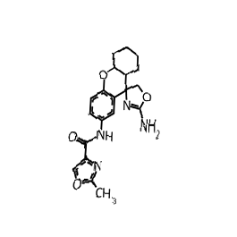 Cc1nc(C(=O)Nc2ccc3c(c2)C2(COC(N)=N2)C2CCCCC2O3)co1